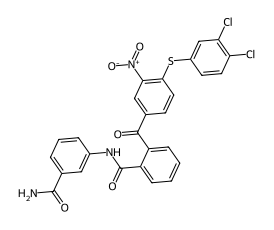 NC(=O)c1cccc(NC(=O)c2ccccc2C(=O)c2ccc(Sc3ccc(Cl)c(Cl)c3)c([N+](=O)[O-])c2)c1